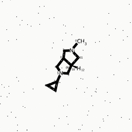 CN1CC2CN(C3CC3)C[C@H]2C1